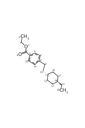 CCOC(=O)c1ccc(CC[C@H]2CC[C@H](CC)CC2)cc1